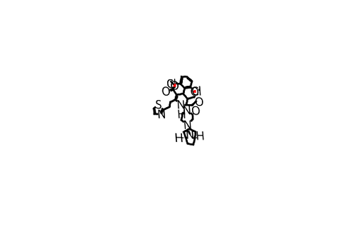 COC(=O)C1=C(CCc2nccs2)NC(C(C)=O)(N2CCN([C@@H]3C[C@H]4CC[C@@H](C3)N4C)CC2)C(C(=O)OC)C1c1c(Cl)cccc1Cl